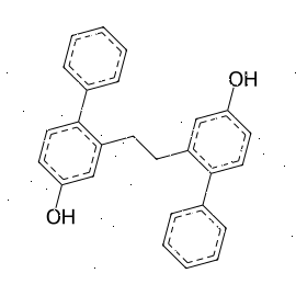 Oc1ccc(-c2ccccc2)c(CCc2cc(O)ccc2-c2ccccc2)c1